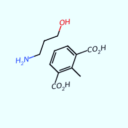 Cc1c(C(=O)O)cccc1C(=O)O.NCCCO